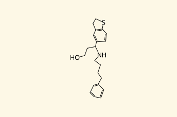 OCCC(NCCCCc1ccccc1)c1ccc2c(c1)CCS2